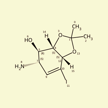 CC1(C)O[C@H]2[C@H](O)[C@@H](N)C=C(I)[C@H]2O1